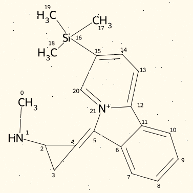 CNC1C/C1=C1\c2ccccc2-c2ccc([Si](C)(C)C)c[n+]21